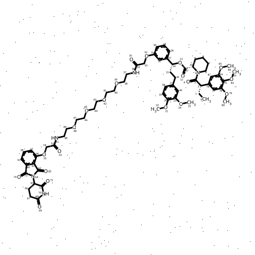 CC[C@H](C(=O)N1CCCC[C@H]1C(=O)O[C@H](CCc1ccc(OC)c(OC)c1)c1cccc(OCC(=O)NCCOCCOCCOCCOCCNC(=O)COc2cccc3c2C(=O)N(C2CCC(=O)NC2=O)C3=O)c1)c1cc(OC)c(OC)c(OC)c1